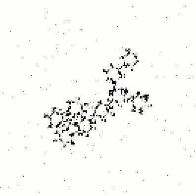 c1ccc(-c2cccc(-c3nc(-c4ccc(-c5ccc6c(c5)C5(c7ccccc7-c7ccccc75)c5ccccc5-6)cc4)cc(-c4cccnc4)n3)c2)cc1